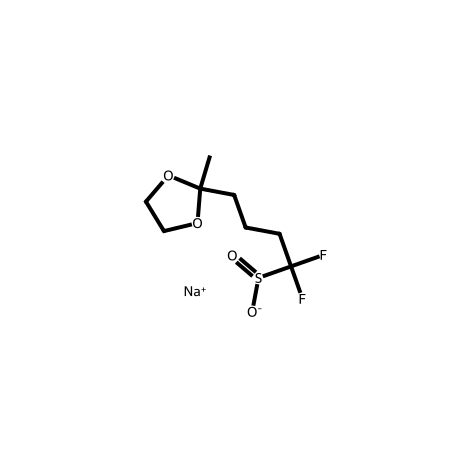 CC1(CCCC(F)(F)S(=O)[O-])OCCO1.[Na+]